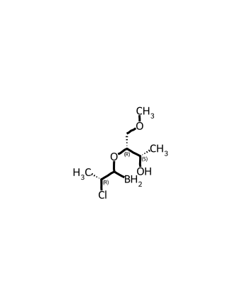 BC(O[C@H](COC)[C@H](C)O)[C@@H](C)Cl